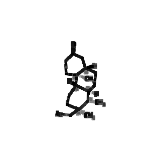 CC(=O)C[C@@]1(C)CC[C@H]2[C@@H](CC[C@H]3CC(=O)CC[C@@]32C)[C@@H]1C